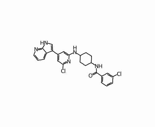 O=C(NC1CCC(Nc2cc(-c3c[nH]c4ncccc34)cc(Cl)n2)CC1)c1cccc(Cl)c1